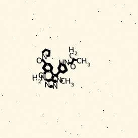 C=C(C)C(=O)Nc1ccc(-c2c(-c3ccc(C(=O)N4CCCC4)cc3Cl)c3c(N)ncnc3n2C)cc1